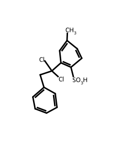 Cc1ccc(S(=O)(=O)O)c(C(Cl)(Cl)Cc2ccccc2)c1